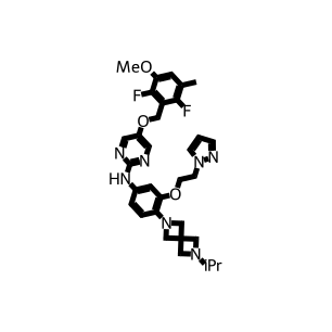 COc1cc(C)c(F)c(COc2cnc(Nc3ccc(N4CC5(C4)CN(C(C)C)C5)c(OCCn4cccn4)c3)nc2)c1F